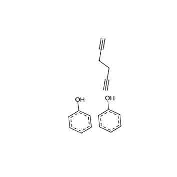 C#CCCC#C.Oc1ccccc1.Oc1ccccc1